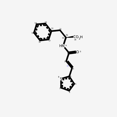 O=C(/C=C/c1cccs1)N[C@@H](Cc1ccccc1)C(=O)O